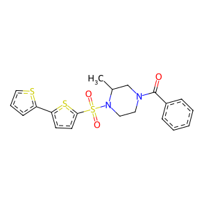 CC1CN(C(=O)c2ccccc2)CCN1S(=O)(=O)c1ccc(-c2cccs2)s1